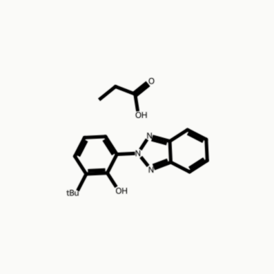 CC(C)(C)c1cccc(-n2nc3ccccc3n2)c1O.CCC(=O)O